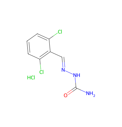 Cl.NC(=O)N/N=C/c1c(Cl)cccc1Cl